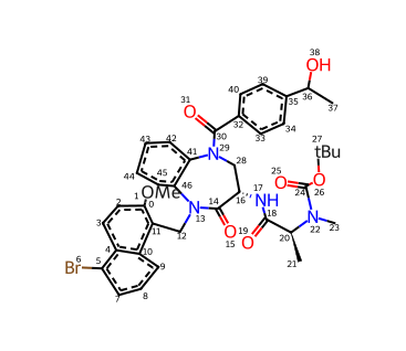 COc1ccc2c(Br)cccc2c1CN1C(=O)[C@@H](NC(=O)[C@H](C)N(C)C(=O)OC(C)(C)C)CN(C(=O)c2ccc(C(C)O)cc2)c2ccccc21